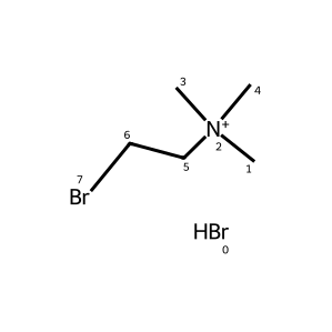 Br.C[N+](C)(C)CCBr